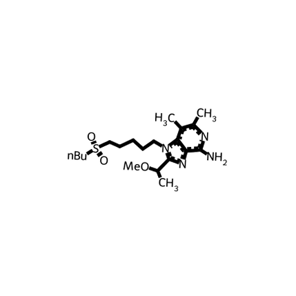 CCCCS(=O)(=O)CCCCCn1c(C(C)OC)nc2c(N)nc(C)c(C)c21